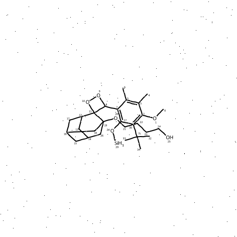 COc1c(C)c(C)c(C2OOC23C2CC4CC(C2)CC3(OCCCCO)C4)c(O[SiH3])c1C(C)(C)C